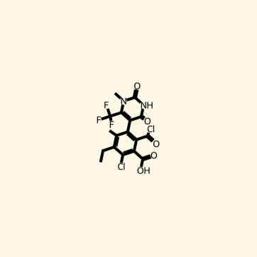 CCc1c(C)c(-c2c(C(F)(F)F)n(C)c(=O)[nH]c2=O)c(C(=O)Cl)c(C(=O)O)c1Cl